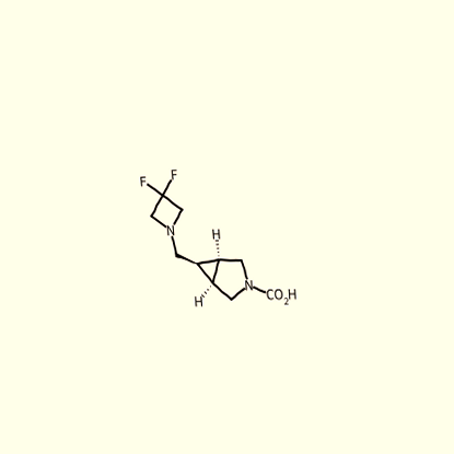 O=C(O)N1C[C@@H]2[C@H](CN3CC(F)(F)C3)[C@@H]2C1